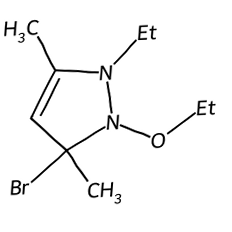 CCON1N(CC)C(C)=CC1(C)Br